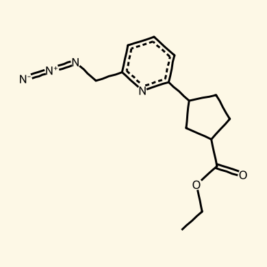 CCOC(=O)C1CCC(c2cccc(CN=[N+]=[N-])n2)C1